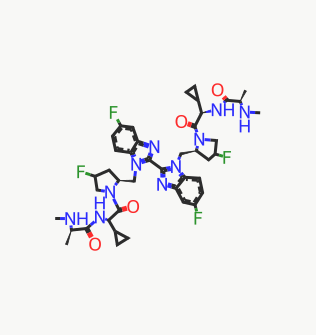 CN[C@H](C)C(=O)N[C@@H](C(=O)N1CC(F)C[C@H]1Cn1c(-c2nc3cc(F)ccc3n2C[C@@H]2CC(F)CN2C(=O)[C@H](NC(=O)[C@@H](C)NC)C2CC2)nc2cc(F)ccc21)C1CC1